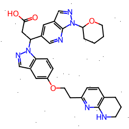 O=C(O)CC(c1cnc2c(cnn2C2CCCCO2)c1)n1ncc2cc(OCCc3ccc4c(n3)NCCC4)ccc21